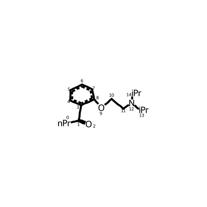 CCCC(=O)c1ccccc1OCCN(C(C)C)C(C)C